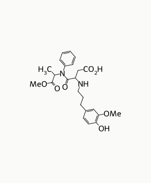 COC(=O)C(C)N(C(=O)C(CC(=O)O)NCCCc1ccc(O)c(OC)c1)c1ccccc1